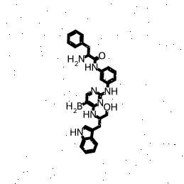 Bc1cnc(Nc2cccc(NC(=O)C(N)Cc3ccccc3)c2)nc1NC(CO)Cc1c[nH]c2ccccc12